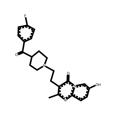 Cc1nc2ccc(O)cn2c(=O)c1CCN1CCC(C(=O)c2ccc(F)cc2)CC1